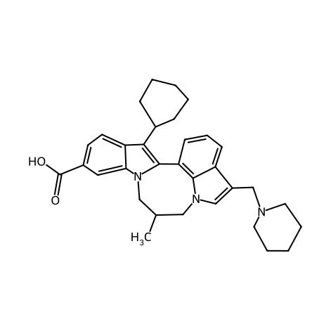 CC1Cn2cc(CN3CCCCC3)c3cccc(c32)-c2c(C3CCCCC3)c3ccc(C(=O)O)cc3n2C1